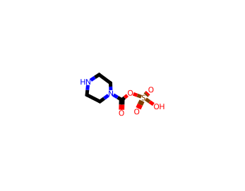 O=C(OS(=O)(=O)O)N1CCNCC1